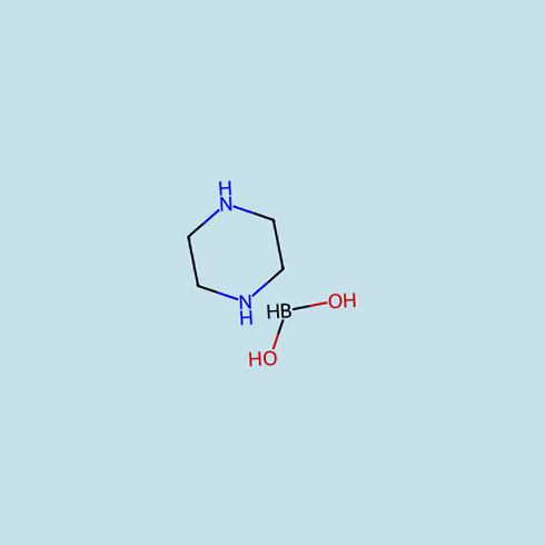 C1CNCCN1.OBO